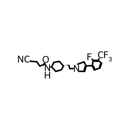 N#CCCCC(=O)N[C@H]1CC[C@H](CCN2CC=C(c3cccc(C(F)(F)F)c3F)CC2)CC1